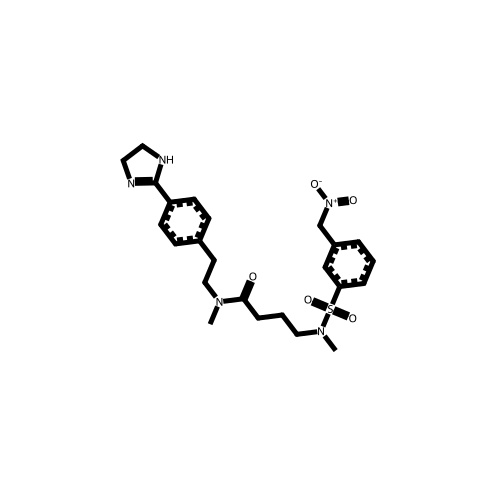 CN(CCc1ccc(C2=NCCN2)cc1)C(=O)CCCN(C)S(=O)(=O)c1cccc(C[N+](=O)[O-])c1